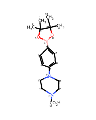 CC1(C)OB(c2ccc(N3CCN(C(=O)O)CC3)cc2)OC1(C)C